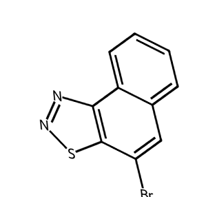 Brc1cc2ccccc2c2nnsc12